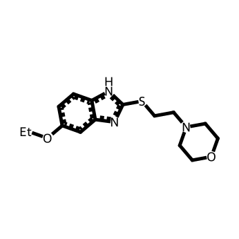 CCOc1ccc2[nH]c(SCCN3CCOCC3)nc2c1